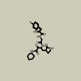 O=C(CNC(=O)c1cc2ccc(F)cc2[nH]1)NC(CC1CCNC1=O)C(=O)C(=O)NC1CCCCC1